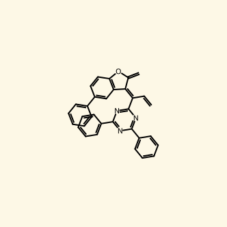 C=C/C(c1nc(-c2ccccc2)nc(-c2ccccc2)n1)=c1\c(=C)oc2ccc(-c3ccccc3)cc12